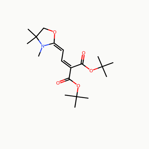 CN1C(=CC=C(C(=O)OC(C)(C)C)C(=O)OC(C)(C)C)OCC1(C)C